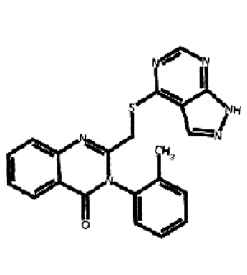 Cc1ccccc1-n1c(CSc2ncnc3[nH]ncc23)nc2ccccc2c1=O